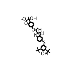 COC(=O)C(C)(O)c1ccc(OC(C)c2nc3ccc(Sc4cc(C(C)(C)C)c(O)c(C(C)(C)C)c4)cc3[nH]2)cc1.Cl